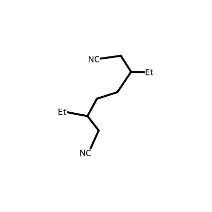 CCC(CC#N)CCC(CC)CC#N